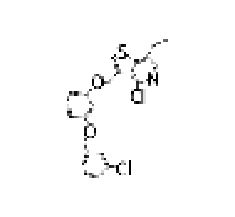 CCc1cnc(Cl)c2c(COc3cccc(OCc4cccc(Cl)c4)c3)csc12